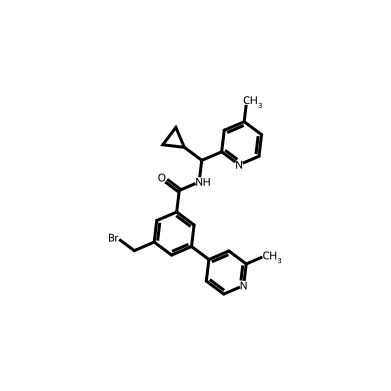 Cc1ccnc(C(NC(=O)c2cc(CBr)cc(-c3ccnc(C)c3)c2)C2CC2)c1